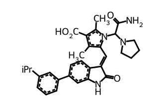 Cc1c(C(=O)O)c(C)n(C(C(N)=O)N2CCCC2)c1C=C1C(=O)Nc2cc(-c3cccc(C(C)C)c3)ccc21